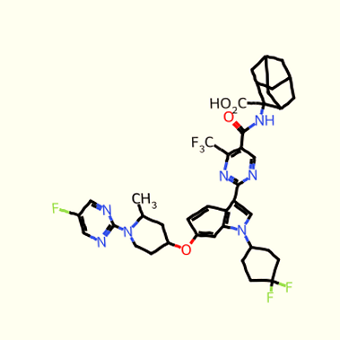 CC1CC(Oc2ccc3c(-c4ncc(C(=O)NC5(C(=O)O)C6CC7CC(C6)CC5C7)c(C(F)(F)F)n4)cn(C4CCC(F)(F)CC4)c3c2)CCN1c1ncc(F)cn1